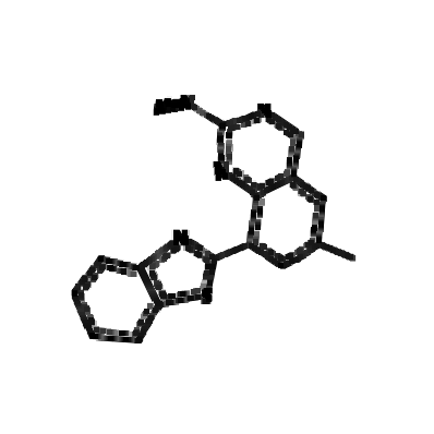 CNc1ncc2cc(C)cc(-c3nc4ccccc4s3)c2n1